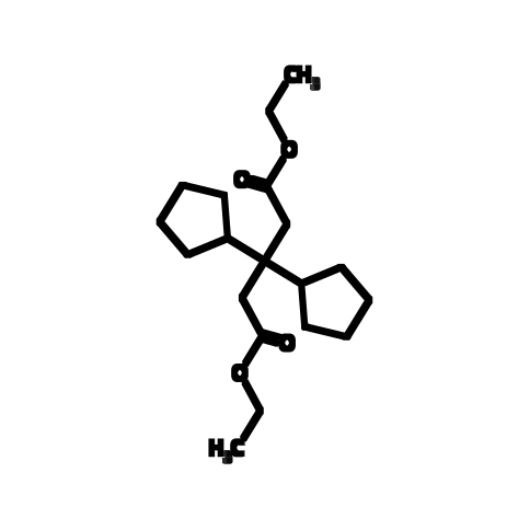 CCOC(=O)CC(CC(=O)OCC)(C1CCCC1)C1CCCC1